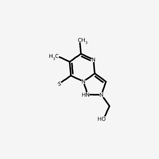 CC1=NC2=CN(CO)NN2C([S])=C1C